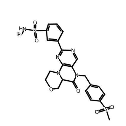 CC(C)NS(=O)(=O)c1cccc(-c2ncc3c(n2)N2CCOCC2C(=O)N3Cc2ccc(S(C)(=O)=O)cc2)c1